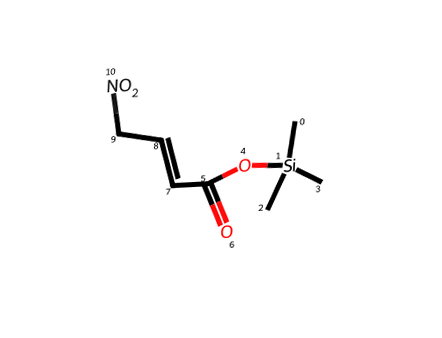 C[Si](C)(C)OC(=O)/C=C/C[N+](=O)[O-]